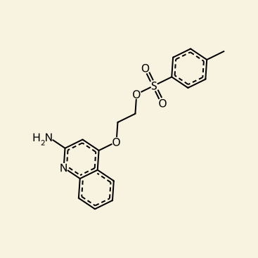 Cc1ccc(S(=O)(=O)OCCOc2cc(N)nc3ccccc23)cc1